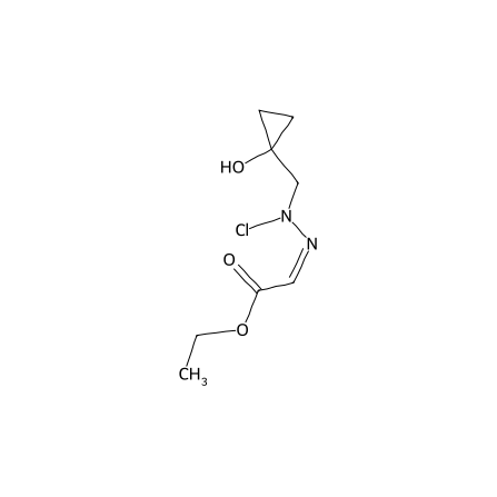 CCOC(=O)/C=N\N(Cl)CC1(O)CC1